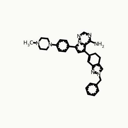 CN1CCN(c2ccc(-c3cc(C4=Cc5nn(Cc6ccccc6)cc5CC4)c4c(N)ncnn34)cc2)CC1